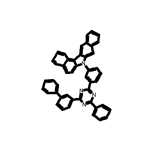 c1ccc(-c2cccc(-c3nc(-c4ccccc4)nc(-c4cccc(-n5c6cc7ccccc7cc6c6c7ccccc7ccc65)c4)n3)c2)cc1